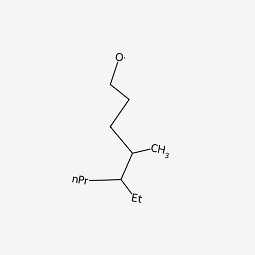 CCCC(CC)C(C)CCC[O]